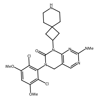 CNc1ncc2c(n1)N(C1CC3(CCNCC3)C1)C(=O)N(c1c(Cl)c(OC)cc(OC)c1Cl)C2